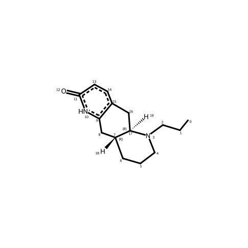 CCCN1CCC[C@@H]2Cc3[nH]c(=O)ccc3C[C@H]21